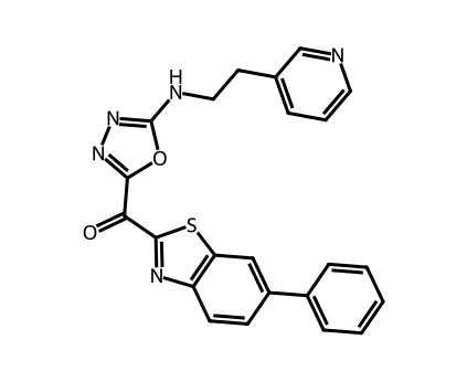 O=C(c1nnc(NCCc2cccnc2)o1)c1nc2ccc(-c3ccccc3)cc2s1